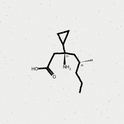 CCC[C@@H](C)C[C@](N)(CC(=O)O)C1CC1